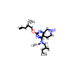 C=CC[C@@H](CCCC)COc1nc2c(c(N(CCC)CC(C)CC#N)n1)CCNC2